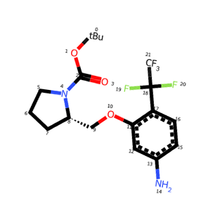 CC(C)(C)OC(=O)N1CCC[C@H]1COc1cc(N)ccc1C(F)(F)C(F)(F)F